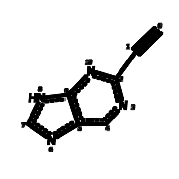 C#Cc1ncc2nc[nH]c2n1